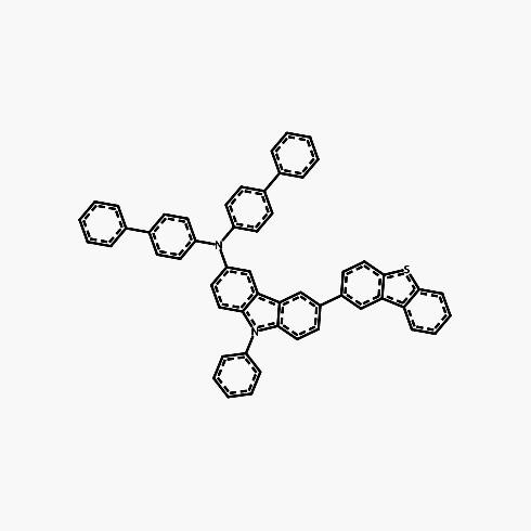 c1ccc(-c2ccc(N(c3ccc(-c4ccccc4)cc3)c3ccc4c(c3)c3cc(-c5ccc6sc7ccccc7c6c5)ccc3n4-c3ccccc3)cc2)cc1